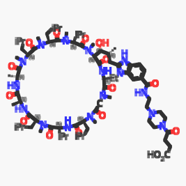 CC[C@@H]1NC(=O)[C@H]([C@H](O)[C@H](C)Cc2nc3cc(C(=O)NCCN4CCN(C(=O)CCC(=O)O)CC4)ccc3[nH]2)N(C)C(=O)[C@H](C(C)C)N(C)C(=O)[C@H](CC(C)C)N(C)C(=O)[C@H](CC(C)C)N(C)C(=O)[C@@H](C)NC(=O)[C@H](C)NC(=O)[C@H](CC(C)C)N(C)C(=O)[C@H](C(C)C)NC(=O)[C@H](CC(C)C)N(C)C(=O)CN(C)C1=O